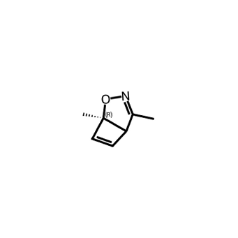 CC1=NO[C@]2(C)C=CC12